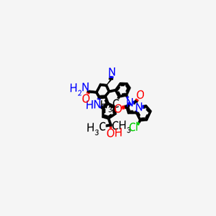 Cc1c(C2c3c([nH]c4cc(C(C)(C)O)ccc34)C(C(N)=O)C[C@H]2C#N)cccc1-n1c(=O)cc2c(Cl)cccn2c1=O